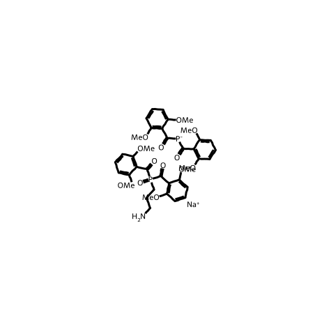 COc1cccc(OC)c1C(=O)P(=O)(CCCN)C(=O)c1c(OC)cccc1OC.COc1cccc(OC)c1C(=O)[P-]C(=O)c1c(OC)cccc1OC.[Na+]